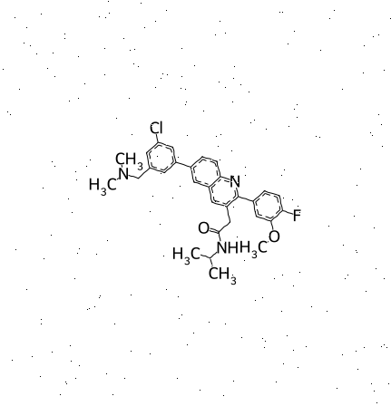 COc1cc(-c2nc3ccc(-c4cc(Cl)cc(CN(C)C)c4)cc3cc2CC(=O)NC(C)C)ccc1F